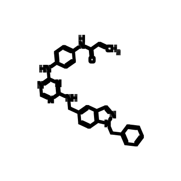 C=CC(=O)Nc1ccc(Nc2ncnc(NCc3ccc4c(cnn4Cc4ccccc4)c3)n2)cc1